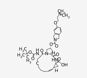 CN(C)CCOc1ccc2c(c1)CN(C(=O)O[C@@H]1C[C@H]3C(=O)N[C@]4(C(=O)O)C[C@H]4/C=C\CCCCC[C@H](NC(=O)OC(C)(C)C)C(=O)N3C1)C2